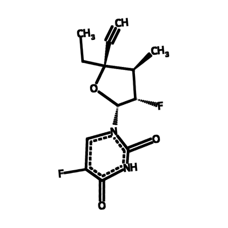 C#C[C@]1(CC)O[C@@H](n2cc(F)c(=O)[nH]c2=O)[C@@H](F)[C@@H]1C